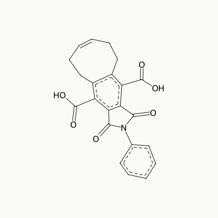 O=C(O)c1c2c(c(C(=O)O)c3c1C(=O)N(c1ccccc1)C3=O)CC/C=C\CC2